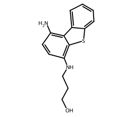 Nc1ccc(NCCCO)c2sc3ccccc3c12